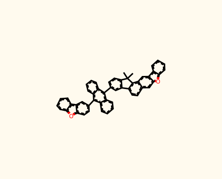 CC1(C)c2ccc(-c3c4ccccc4c(-c4ccc5oc6ccccc6c5c4)c4ccccc34)cc2-c2ccc3cc4oc5ccccc5c4cc3c21